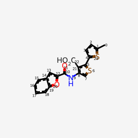 Cc1ccc(-c2scc(NC(=O)c3cc4ccccc4o3)c2C(=O)O)s1